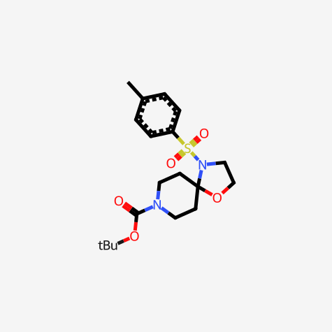 Cc1ccc(S(=O)(=O)N2CCOC23CCN(C(=O)OC(C)(C)C)CC3)cc1